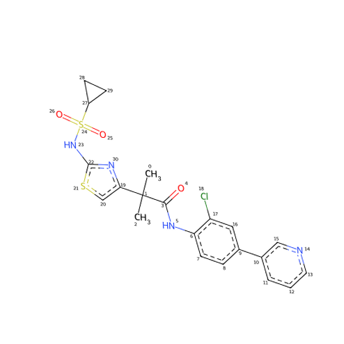 CC(C)(C(=O)Nc1ccc(-c2cccnc2)cc1Cl)c1csc(NS(=O)(=O)C2CC2)n1